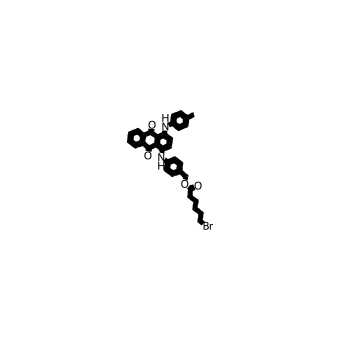 Cc1ccc(Nc2ccc(Nc3ccc(COC(=O)CCCCCBr)cc3)c3c2C(=O)c2ccccc2C3=O)cc1